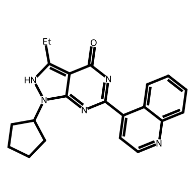 CCc1[nH]n(C2CCCC2)c2nc(-c3ccnc4ccccc34)nc(=O)c1-2